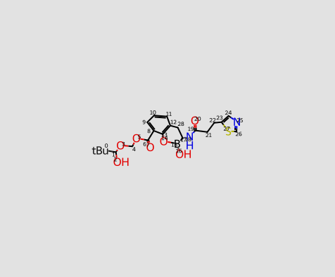 CC(C)(C)C(O)OCOC(=O)c1cccc2c1OB(O)[C@@H](NC(=O)CCc1cncs1)C2